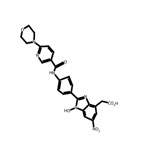 O=C(O)Cc1cc([N+](=O)[O-])cc2c1nc(-c1ccc(NC(=O)c3ccc(N4CCOCC4)nc3)cc1)n2O